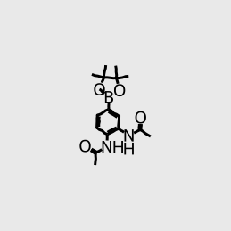 CC(=O)Nc1ccc(B2OC(C)(C)C(C)(C)O2)cc1NC(C)=O